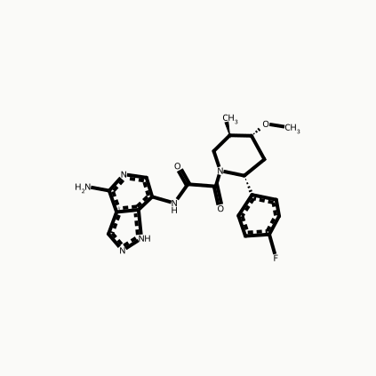 CO[C@@H]1C[C@H](c2ccc(F)cc2)N(C(=O)C(=O)Nc2cnc(N)c3cn[nH]c23)C[C@H]1C